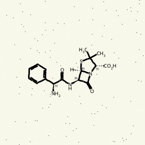 CC1(C)S[C@@H]2[C@H](NC(=O)[C@@H](N)c3ccccc3)C(=O)N2[C@H]1C(=O)O